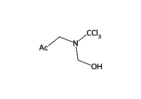 CC(=O)CN(CO)C(Cl)(Cl)Cl